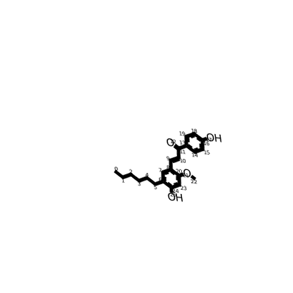 CCCCCCc1cc(/C=C/C(=O)c2ccc(O)cc2)c(OC)cc1O